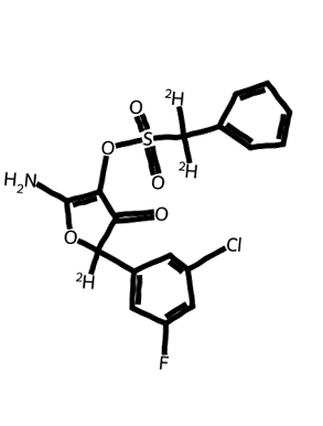 [2H]C1(c2cc(F)cc(Cl)c2)OC(N)=C(OS(=O)(=O)C([2H])([2H])c2ccccc2)C1=O